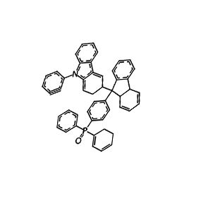 O=P(C1=CC=CCC1)(c1ccccc1)c1ccc(C2(C3C=c4c(n(-c5c#cccc5)c5ccccc45)=CC3)c3ccccc3C3C=CC=CC32)cc1